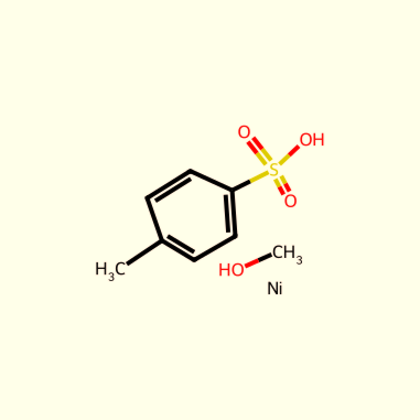 CO.Cc1ccc(S(=O)(=O)O)cc1.[Ni]